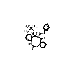 CC(C)(C)NC(=O)C1(C)c2ccccc2NC(=O)Cc2ccccc2C(=O)N1CCc1ccccc1